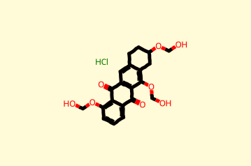 Cl.O=C1c2cc3c(c(OCO)c2C(=O)c2cccc(OCO)c21)CC(OCO)CC3